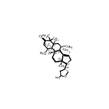 CC(=O)O[C@H]1CC(=O)C(C)(C)[C@@H]2C[C@@H](OC(C)=O)[C@@]3(C)C4=CC[C@@H]([C@@H]5COC(O)C5)[C@]4(C)CC[C@@H]3[C@@]12C